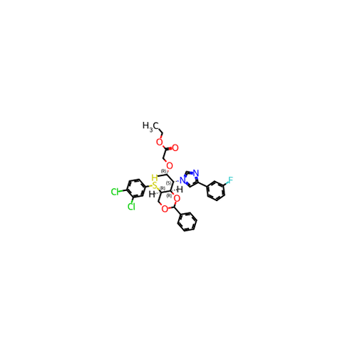 CCOC(=O)CO[C@H]1C[SH](c2ccc(Cl)c(Cl)c2)[C@@H]2COC(c3ccccc3)O[C@@H]2[C@H]1n1cnc(-c2cccc(F)c2)c1